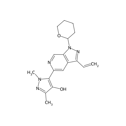 C=Cc1nn(C2CCCCO2)c2cnc(-c3c(O)c(C)nn3C)cc12